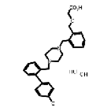 Cl.Cl.O=C(O)COCc1ccccc1CN1CCN(Cc2ccccc2-c2ccc(Cl)cc2)CC1